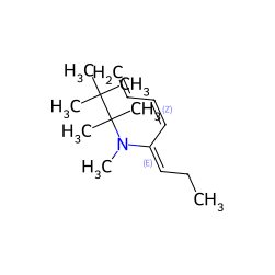 C=C/C=C\C(=C/CC)N(C)C(C)(C)C(C)(C)C